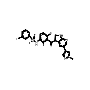 Cn1cc(-c2cnc3c(c2)C(C(=O)c2c(F)ccc(NS(=O)(=O)c4cccc(F)c4)c2F)CN3)cn1